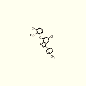 Cc1c(Cl)cccc1Oc1cc(Cl)cn2c(C34CCC(C)(CC3)C4)nnc12